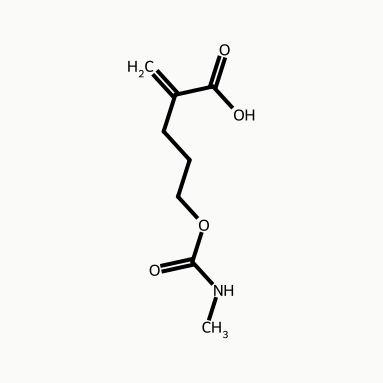 C=C(CCCOC(=O)NC)C(=O)O